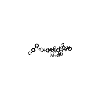 CO[N+](=O)c1cc(S(=O)(=O)NC(=O)c2ccc(N3CCN(Cc4ccccc4-c4ccc(Cl)cc4)CC3)cc2)cc(C(=O)O)c1N[C@H](CCN(C)C)CSc1ccccc1